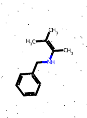 CC(C)=C(C)NCc1ccccc1